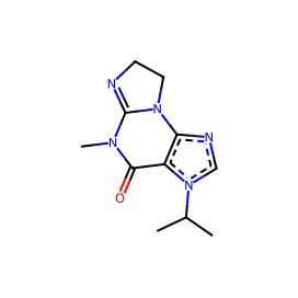 CC(C)n1cnc2c1C(=O)N(C)C1=NCCN12